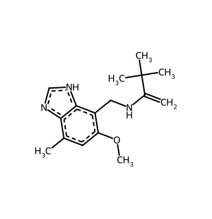 C=C(NCc1c(OC)cc(C)c2nc[nH]c12)C(C)(C)C